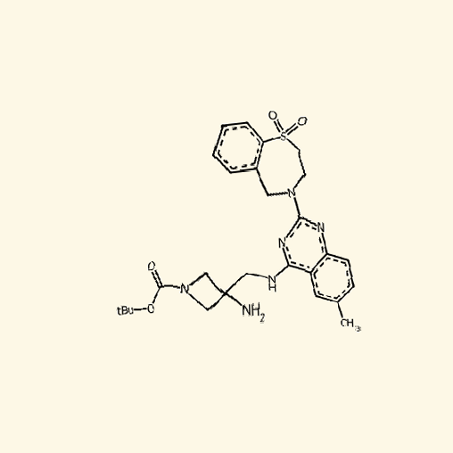 Cc1ccc2nc(N3CCS(=O)(=O)c4ccccc4C3)nc(NCC3(N)CN(C(=O)OC(C)(C)C)C3)c2c1